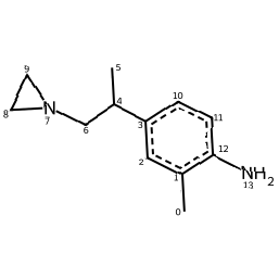 Cc1cc(C(C)CN2CC2)ccc1N